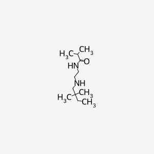 CCC(C)(C)CNCCNC(=O)C(C)C